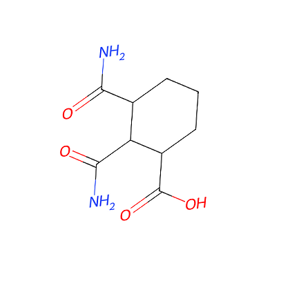 NC(=O)C1CCCC(C(=O)O)C1C(N)=O